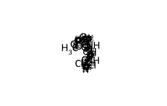 CS(=O)(=O)c1cccc(S(=O)(=O)N2CCC[C@H]2C(=O)N[C@@H](Cc2ccc(NC(=O)c3c(Cl)cncc3Cl)cc2)C(=O)O)c1